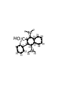 CN(C)c1c(C(=O)O)c(-c2ccccc2)c(N(C)C)c2ccccc12